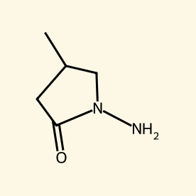 CC1CC(=O)N(N)C1